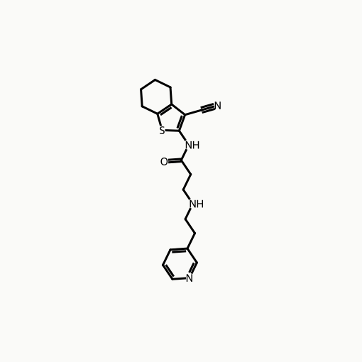 N#Cc1c(NC(=O)CCNCCc2cccnc2)sc2c1CCCC2